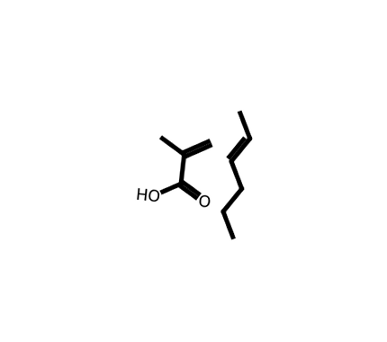 C=C(C)C(=O)O.CC=CCCC